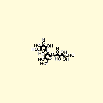 O=C[C@H](O)[C@@H](O)[C@H](O)[C@H](O)CO[C@H]1O[C@H](CO)[C@@H](O)[C@H](O)[C@H]1O[C@H]1O[C@H](CO)[C@@H](O)[C@H](O)[C@H]1O